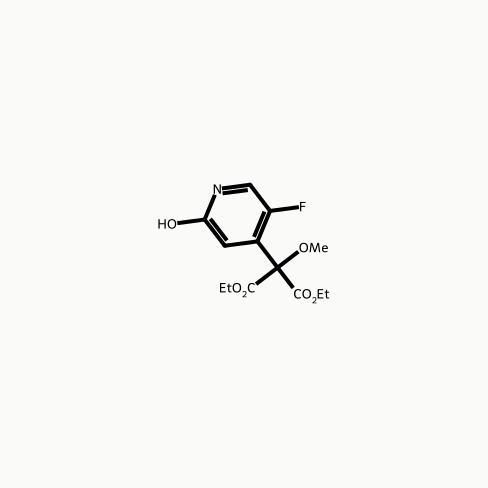 CCOC(=O)C(OC)(C(=O)OCC)c1cc(O)ncc1F